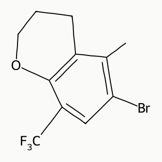 Cc1c(Br)cc(C(F)(F)F)c2c1CCCO2